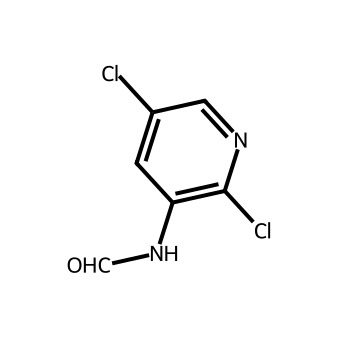 O=CNc1cc(Cl)cnc1Cl